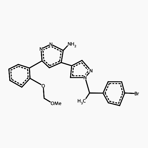 COCOc1ccccc1-c1cc(-c2cnn(C(C)c3ccc(Br)cc3)c2)c(N)nn1